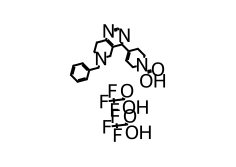 O=C(O)C(F)(F)F.O=C(O)C(F)(F)F.O=C(O)N1CC=C(c2ncnc3c2CN(Cc2ccccc2)CC3)CC1